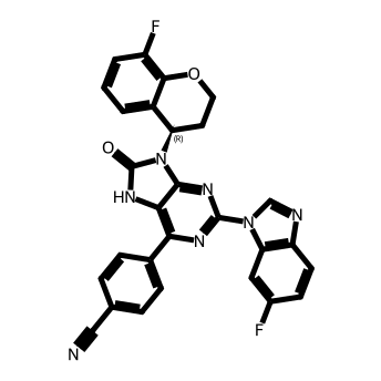 N#Cc1ccc(-c2nc(-n3cnc4ccc(F)cc43)nc3c2[nH]c(=O)n3[C@@H]2CCOc3c(F)cccc32)cc1